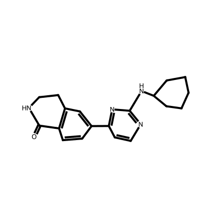 O=C1NCCc2cc(-c3ccnc(NC4CCCCC4)n3)ccc21